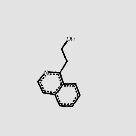 OCCc1nccc2ccccc12